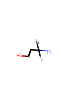 CCC(N)(CC)CCO